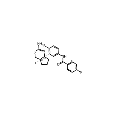 NC1=N[C@@]2(c3cc(NC(=O)c4ccc(F)cn4)ccc3F)CCC[C@H]2CS1